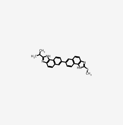 CSc1nc2ccc3cc(-c4ccc5c(ccc6nc(C(C)C)[nH]c65)c4)ccc3c2[nH]1